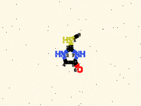 C[SH]=C1NCC(=O)N1